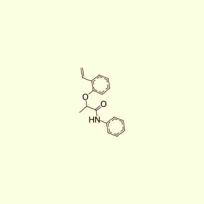 C=Cc1ccccc1OC(C)C(=O)Nc1ccccc1